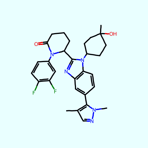 Cc1cnn(C)c1-c1ccc2c(c1)nc(C1CCCC(=O)N1c1ccc(F)c(F)c1)n2C1CCC(C)(O)CC1